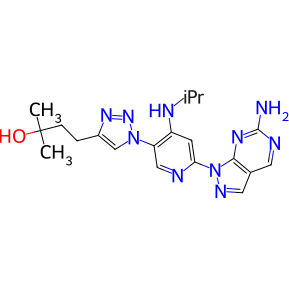 CC(C)Nc1cc(-n2ncc3cnc(N)nc32)ncc1-n1cc(CCC(C)(C)O)nn1